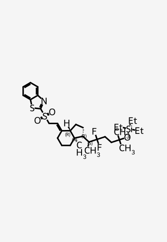 CC[Si](CC)(CC)OC(C)(C)CCC(F)(F)[C@@H](C)[C@H]1CC[C@H]2C(=CCS(=O)(=O)c3nc4ccccc4s3)CCC[C@]12C